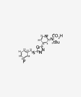 CC(C)(C)N(C(=O)O)c1cc(-c2nnc(SCc3cccc(F)c3)o2)ccn1